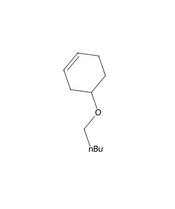 CCCCCOC1CC=CCC1